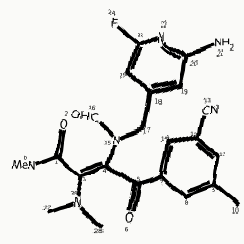 CNC(=O)/C(=C(/C(=O)c1cc(C)cc(C#N)c1)N(C=O)Cc1cc(N)nc(F)c1)N(C)C